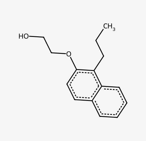 CCCc1c(OCCO)ccc2ccccc12